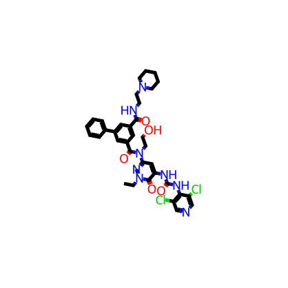 CCn1nc(N(CCO)C(=O)c2cc(C(=O)NCCN3CCCCC3)cc(-c3ccccc3)c2)cc(NC(=O)Nc2c(Cl)cncc2Cl)c1=O